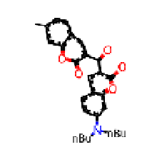 CCCCN(CCCC)c1ccc2cc(C(=O)c3cc4ccc(C)cc4oc3=O)c(=O)oc2c1